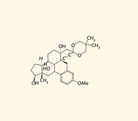 COc1ccc2c(c1)C[C@]13CCC4(C[C@]1(O)CC[C@H]1[C@@H]5CC[C@H](O)[C@@]5(C)CC2[C@@]13O)OCC(C)(C)CO4